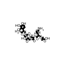 CC(C)(O/N=C(\C(=O)N[C@@H]1C(=O)N2C[C@@](C(=O)O)(N3CCN(/N=C(\C(N)=O)c4ccc(O)c(O)c4Cl)C3=O)S[C@H]12)c1csc(N)n1)C(=O)O